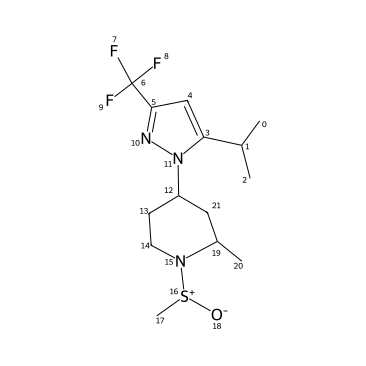 CC(C)c1cc(C(F)(F)F)nn1C1CCN([S+](C)[O-])C(C)C1